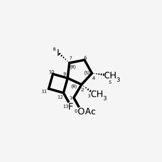 CC(=O)OC[C@]1(C)[C@@H](C)C[C@@H](I)C12CCC2F